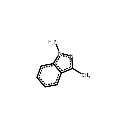 Cc1nn(P)c2ccccc12